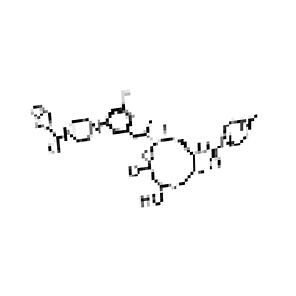 C/C(=C\c1cc(F)cc(N2CCN(C(=O)C3COC3)CC2)c1)[C@H]1OC(=O)C[C@H](O)CC[C@H](C)[C@@H](OC(=O)N2CCN(C)CC2)/C=C/[C@@H]1C